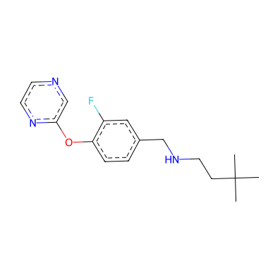 CC(C)(C)CCNCc1ccc(Oc2cnccn2)c(F)c1